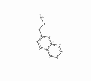 CCCCOCc1ccc2ccccc2c1